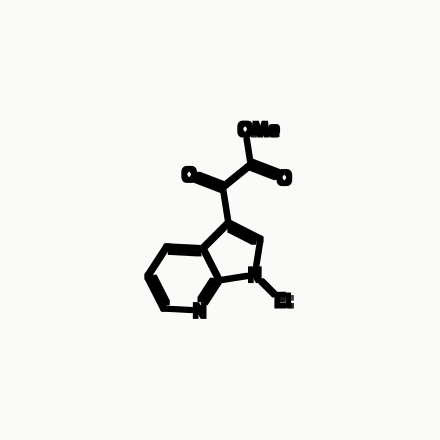 CCn1cc(C(=O)C(=O)OC)c2cccnc21